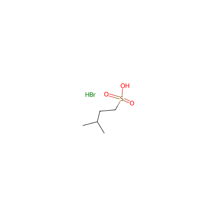 Br.CC(C)CCS(=O)(=O)O